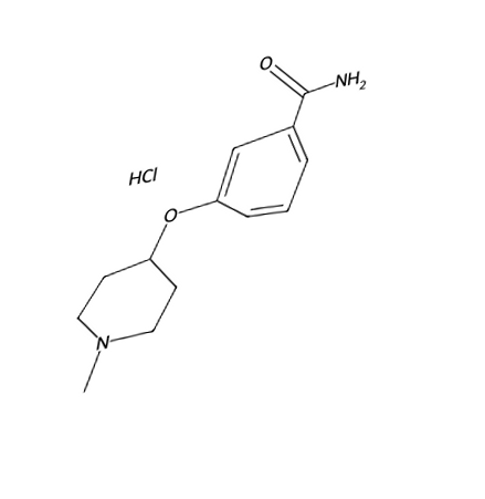 CN1CCC(Oc2cccc(C(N)=O)c2)CC1.Cl